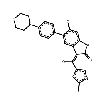 Cc1ncc(C(O)=C2C(=O)Nc3cc(Cl)c(-c4ccc(N5CCOCC5)cc4)cc32)s1